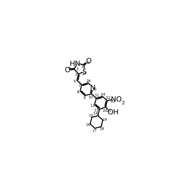 O=C1NC(=O)C(=Cc2ccc(-c3cc(C4CCCCC4)c(O)c([N+](=O)[O-])c3)nc2)S1